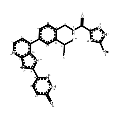 CC(C)(C)c1noc(C(=O)NCc2ccc(-c3ccnc4[nH]c(-c5ccc(=O)[nH]n5)nc34)cc2C(F)F)n1